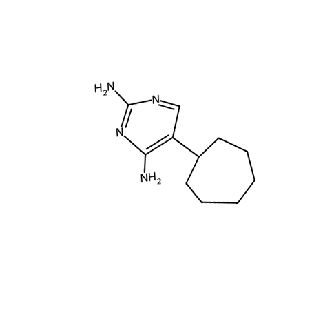 Nc1ncc(C2CCCCCC2)c(N)n1